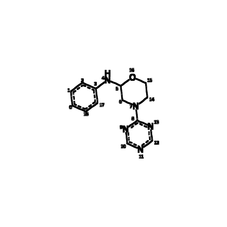 c1ccc(NC2CN(c3ncncn3)CCO2)cc1